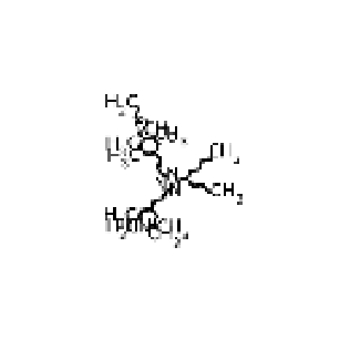 C=CCOCC1C(C)(C)CC(CCc2nc(CCC3CC(C)(C)NC(C)(C)C3)nc(C(CCCC)CCCCC)n2)CC1(C)C